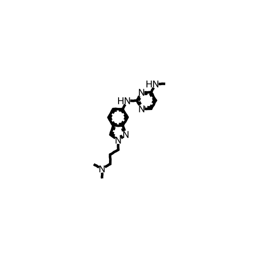 CNc1ccnc(Nc2ccc3cn(CCCN(C)C)nc3c2)n1